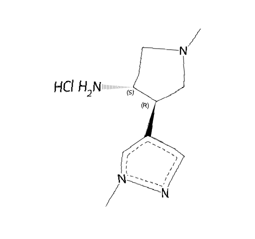 CN1C[C@@H](N)[C@H](c2cnn(C)c2)C1.Cl